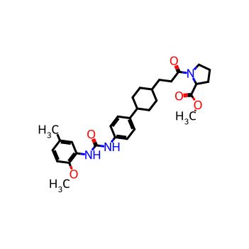 COC(=O)C1CCCN1C(=O)CCC1CCC(c2ccc(NC(=O)Nc3cc(C)ccc3OC)cc2)CC1